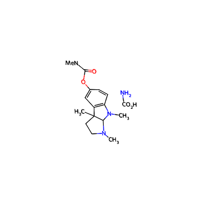 CNC(=O)Oc1ccc2c(c1)C1(C)CCN(C)C1N2C.NC(=O)O